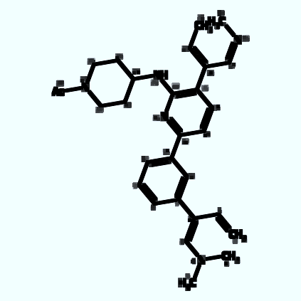 C=C/C(=C\N(C)C)c1cccc(-c2ccc(C(/C=N\C)=C/C)c(NC3CCN(C(C)=O)CC3)n2)c1